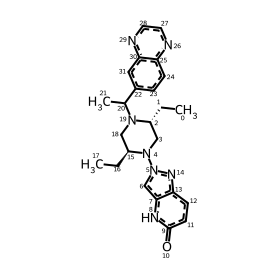 CC[C@@H]1CN(n2cc3[nH]c(=O)ccc3n2)[C@@H](CC)CN1C(C)c1ccc2nccnc2c1